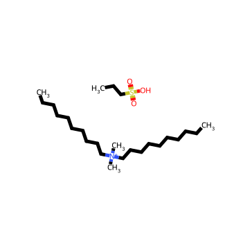 CCCCCCCCCC[N+](C)(C)CCCCCCCCCC.CCCS(=O)(=O)O